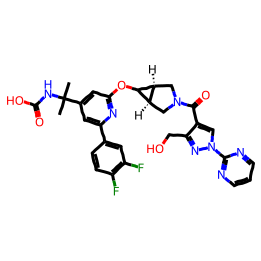 CC(C)(NC(=O)O)c1cc(OC2[C@H]3CN(C(=O)c4cn(-c5ncccn5)nc4CO)C[C@@H]23)nc(-c2ccc(F)c(F)c2)c1